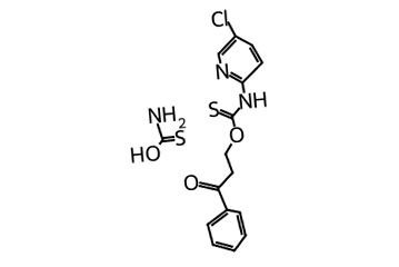 NC(O)=S.O=C(CCOC(=S)Nc1ccc(Cl)cn1)c1ccccc1